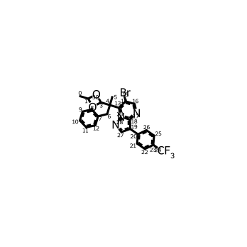 CC1OC(C(C)(Cc2ccccc2)c2c(Br)cnc3c(-c4ccc(C(F)(F)F)cc4)cnn23)O1